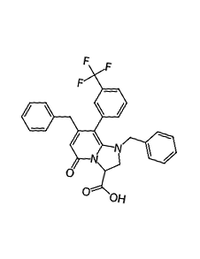 O=C(O)C1CN(Cc2ccccc2)c2c(-c3cccc(C(F)(F)F)c3)c(Cc3ccccc3)cc(=O)n21